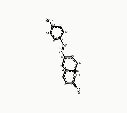 O=c1ccc2cc(/N=N/c3ccc(Br)cc3)ccc2o1